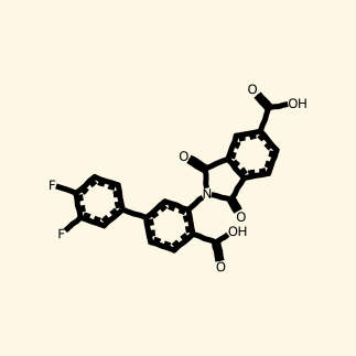 O=C(O)c1ccc2c(c1)C(=O)N(c1cc(-c3ccc(F)c(F)c3)ccc1C(=O)O)C2=O